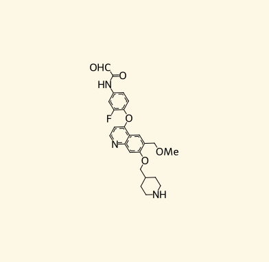 COCc1cc2c(Oc3ccc(NC(=O)C=O)cc3F)ccnc2cc1OCC1CCNCC1